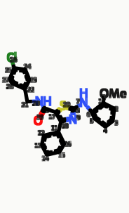 COc1ccccc1Nc1nc(-c2ccccc2)c(C(=O)NCc2ccc(Cl)cc2)s1